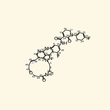 C[C@@H]1CCn2nc(C3C=CC(NC(=O)C4=CCCN(C5=CC=C(F)CC5)C4=O)=CC3F)c3c(N)ncc(c32)/C=C/CCOCCC(=O)N1